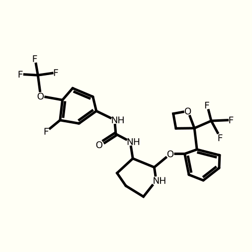 O=C(Nc1ccc(OC(F)(F)F)c(F)c1)NC1CCCNC1Oc1ccccc1C1(C(F)(F)F)CCO1